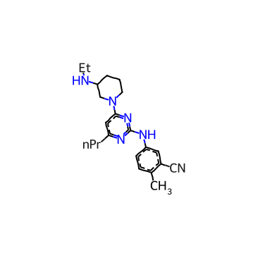 CCCc1cc(N2CCCC(NCC)C2)nc(Nc2ccc(C)c(C#N)c2)n1